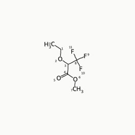 CCOC(C(=O)OC)C(F)(F)F